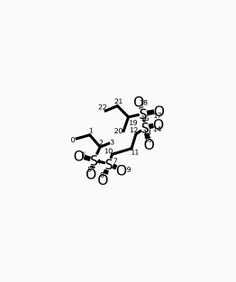 CCC(C)S(=O)(=O)S(=O)(=O)CCCS(=O)(=O)S(=O)(=O)C(C)CC